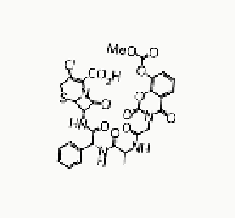 COC(=O)Oc1cccc2c(=O)n(CC(=O)NC(C)C(=O)N[C@@H](C(=O)N[C@@H]3C(=O)N4C(C(=O)O)=C(Cl)CSC34)c3ccccc3)c(=O)oc12